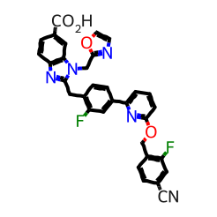 N#Cc1ccc(COc2cccc(-c3ccc(Cc4nc5ccc(C(=O)O)cc5n4Cc4ncco4)c(F)c3)n2)c(F)c1